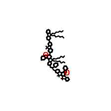 CCCCCCCC1(CCCCCCC)c2ccccc2-c2ccc(-c3ccc4c(c3)C(C)(C)c3cc(-c5cc6c(c7c5oc5ccccc57)-c5ccc(/C=C(/Cc7ccc8c(c7)C(C)(C)c7c9c(c%10oc%11ccccc%11c%10c7-8)-c7ccccc7C9(C)C)c7ccccc7)cc5C6(CCCCCCC)CCCCCCC)ccc3-4)cc21